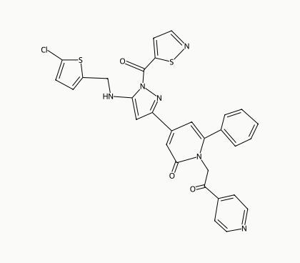 O=C(Cn1c(-c2ccccc2)cc(-c2cc(NCc3ccc(Cl)s3)n(C(=O)c3ccns3)n2)cc1=O)c1ccncc1